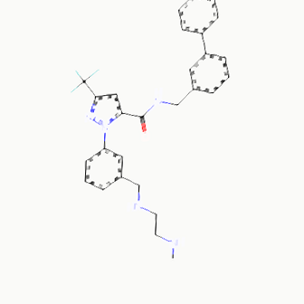 CNCCNCc1cccc(-n2nc(C(F)(F)F)cc2C(=O)NCc2cccc(-c3ccccc3)c2)c1